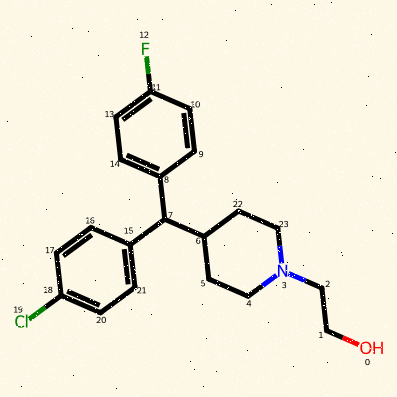 OCCN1CCC(C(c2ccc(F)cc2)c2ccc(Cl)cc2)CC1